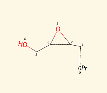 [CH2]CCCC1OC1CO